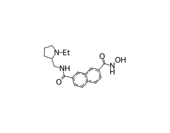 CCN1CCCC1CNC(=O)c1ccc2ccc(C(=O)NO)cc2c1